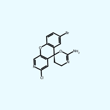 NC1=NCC[C@]2(O1)c1cc(Br)ccc1Oc1cnc(Cl)cc12